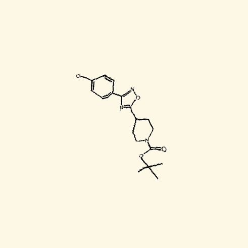 CC(C)(C)OC(=O)N1CCC(c2nc(-c3ccc(Cl)cc3)no2)CC1